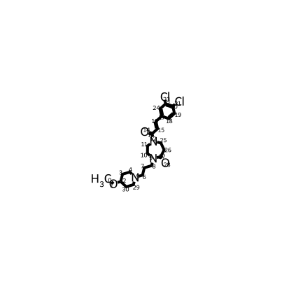 COC1CCN(CCCN2CCN(C(=O)C=Cc3ccc(Cl)c(Cl)c3)CCC2=O)CC1